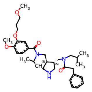 COCCCOc1cc(C(=O)N(C[C@@H]2CNC[C@H]2CN(CC(C)C)C(=O)Cc2ccccc2)C(C)C)ccc1OC